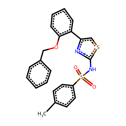 Cc1ccc(S(=O)(=O)Nc2nc(-c3ccccc3OCc3ccccc3)cs2)cc1